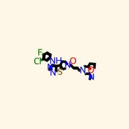 CN(C)CCN(C/C=C/C(=O)N1CCc2c(sc3ncnc(Nc4ccc(F)c(Cl)c4)c23)C1)CC1CCCO1